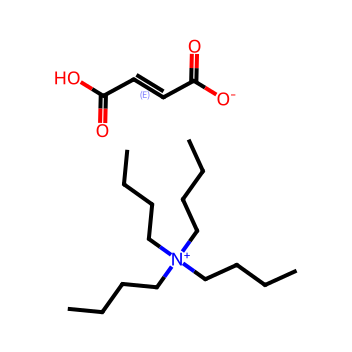 CCCC[N+](CCCC)(CCCC)CCCC.O=C([O-])/C=C/C(=O)O